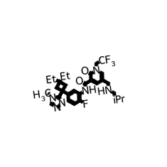 CCC1(CC)CC(c2ccc(F)c(NC(=O)c3cc(CNCC(C)C)cn(CC(F)(F)F)c3=O)c2)(c2nncn2C)C1